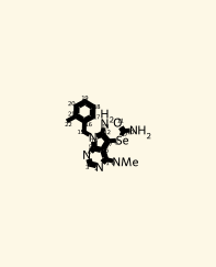 CNc1ncnc2c1c([Se]C(N)=O)c(N)n2Cc1ccccc1C